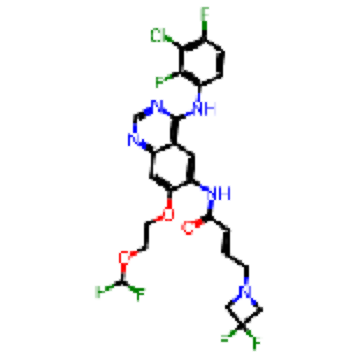 O=C(/C=C/CN1CC(F)(F)C1)Nc1cc2c(Nc3ccc(F)c(Cl)c3F)ncnc2cc1OCCOC(F)F